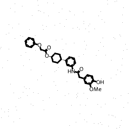 COc1cc(CC(=O)Nc2cccc([C@H]3CC[C@@H](OC(=O)COc4ccccc4)CC3)c2)ccc1O